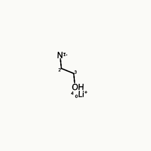 [Li+].[N-]CCO